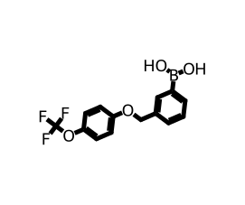 OB(O)c1cccc(COc2ccc(OC(F)(F)F)cc2)c1